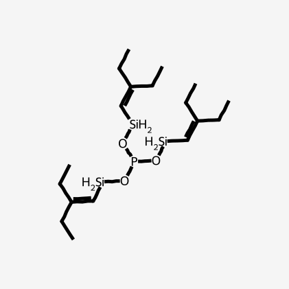 CCC(=C[SiH2]OP(O[SiH2]C=C(CC)CC)O[SiH2]C=C(CC)CC)CC